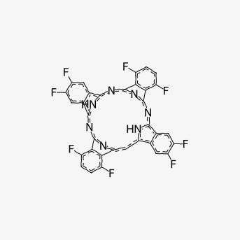 Fc1cc2c3cc4nc(nc5[nH]c(nc6nc(nc([nH]3)c2cc1F)-c1c(F)ccc(F)c1-6)c1cc(F)c(F)cc51)-c1c(F)ccc(F)c1-4